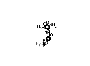 CC(F)(F)Oc1ccc(C(=O)N2CC[C@]3(C=C(N)C(=O)C(C)(C)C3)C2)cc1